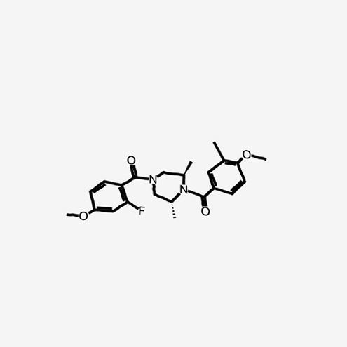 COc1ccc(C(=O)N2C[C@@H](C)N(C(=O)c3ccc(OC)c(C)c3)[C@H](C)C2)c(F)c1